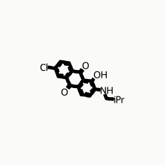 CC(C)CNc1ccc2c(c1O)C(=O)c1ccc(Cl)cc1C2=O